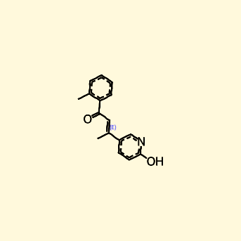 C/C(=C\C(=O)c1ccccc1C)c1ccc(O)nc1